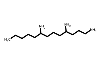 CCCCCC(N)CCCC(N)CCCN